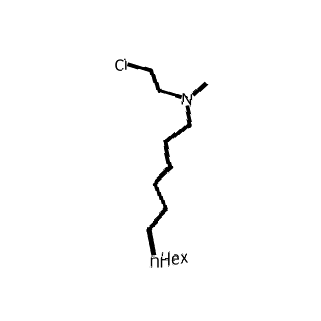 CCCCCCCCCCCCN(C)CCCl